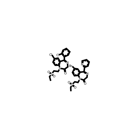 CCS(=O)(=O)CCN1C(=O)CN=C(c2ccccc2Cl)c2cc(Cl)ccc21.CCS(=O)(=O)CCN1C(=O)CN=C(c2ccccn2)c2cc(Br)ccc21